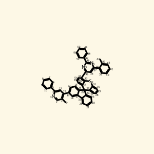 Cc1cnc(-c2ccccc2)cc1-c1ccc2c(c1)-c1ccccc1C21c2ccccc2Sc2c(-c3cc(-c4ccccc4C)nc(-c4ccccc4)n3)cccc21